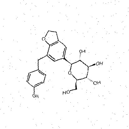 OC[C@H]1O[C@@H](c2cc3c(c(Cc4ccc(O)cc4)c2)OCC3)[C@H](O)[C@@H](O)[C@@H]1O